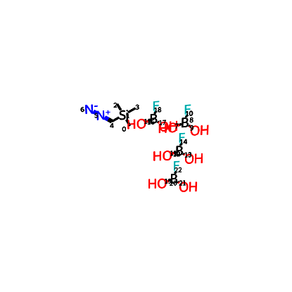 C[Si](C)(C)C=[N+]=[N-].OB(O)F.OB(O)F.OB(O)F.OB(O)F